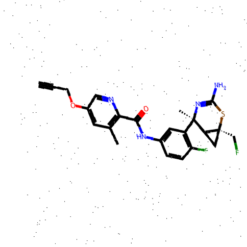 C#CCOc1cnc(C(=O)Nc2ccc(F)c([C@@]3(C)N=C(N)S[C@@]4(CF)CC43)c2)c(C)c1